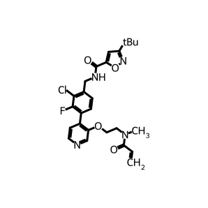 C=CC(=O)N(C)CCOc1cnccc1-c1ccc(CNC(=O)c2cc(C(C)(C)C)no2)c(Cl)c1F